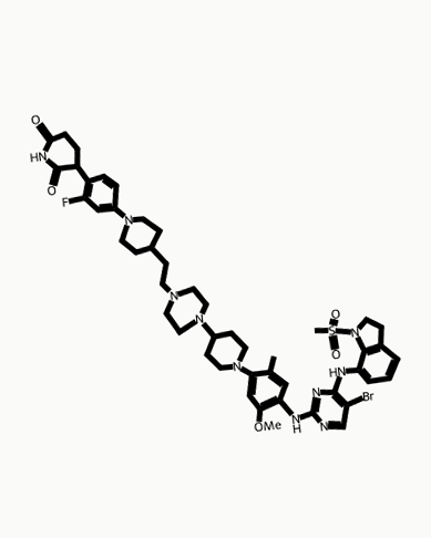 COc1cc(N2CCC(N3CCN(CCC4CCN(c5ccc(C6CCC(=O)NC6=O)c(F)c5)CC4)CC3)CC2)c(C)cc1Nc1ncc(Br)c(Nc2cccc3c2N(S(C)(=O)=O)CC3)n1